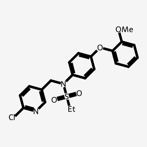 CCS(=O)(=O)N(Cc1ccc(Cl)nc1)c1ccc(Oc2ccccc2OC)cc1